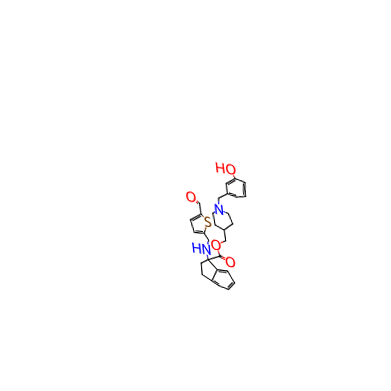 O=Cc1ccc(CNC2(C(=O)OCC3CCN(Cc4cccc(O)c4)CC3)CCc3ccccc32)s1